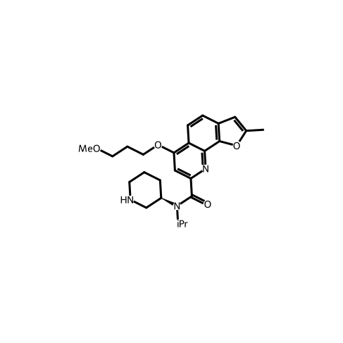 COCCCOc1cc(C(=O)N(C(C)C)[C@@H]2CCCNC2)nc2c1ccc1cc(C)oc12